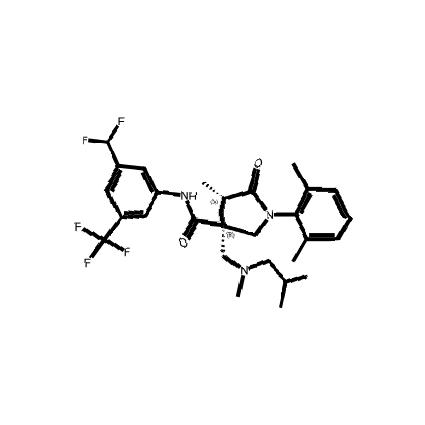 Cc1cccc(C)c1N1C[C@@](CN(C)CC(C)C)(C(=O)Nc2cc(C(F)F)cc(C(F)(F)F)c2)[C@H](C)C1=O